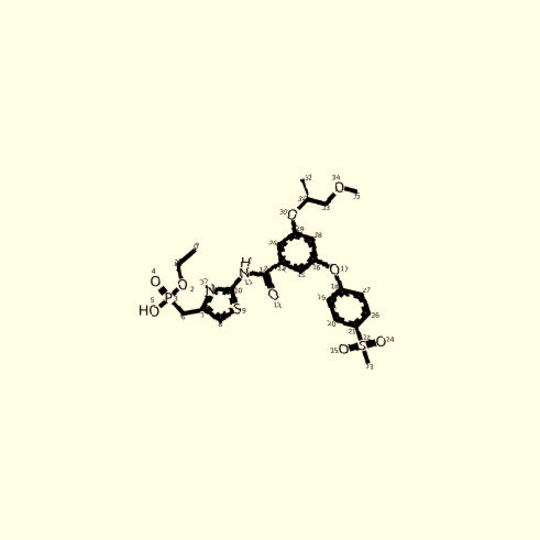 CCOP(=O)(O)Cc1csc(NC(=O)c2cc(Oc3ccc(S(C)(=O)=O)cc3)cc(O[C@@H](C)COC)c2)n1